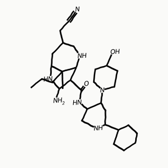 CCCC1(C)C2CC(CC#N)CNC1C(C(=O)NC1CNC(C3CCCCC3)CC1N1CCC(O)CC1)C(N)N2